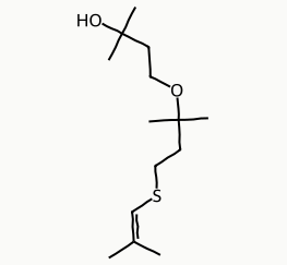 CC(C)=CSCCC(C)(C)OCCC(C)(C)O